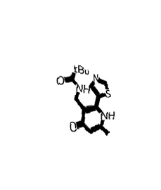 Cc1cc(=O)c(CNC(=O)C(C)(C)C)c(-c2cncs2)[nH]1